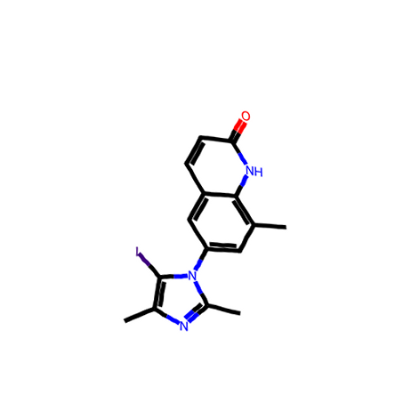 Cc1nc(C)n(-c2cc(C)c3[nH]c(=O)ccc3c2)c1I